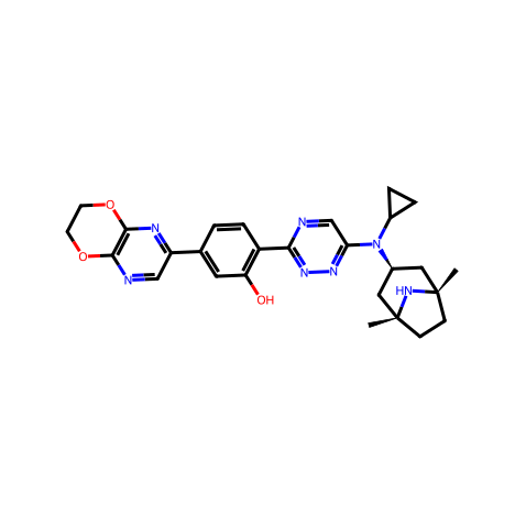 C[C@]12CC[C@](C)(C[C@@H](N(c3cnc(-c4ccc(-c5cnc6c(n5)OCCO6)cc4O)nn3)C3CC3)C1)N2